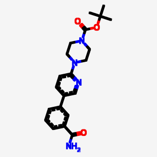 CC(C)(C)OC(=O)N1CCN(c2ccc(-c3cccc(C(N)=O)c3)cn2)CC1